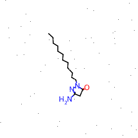 CCCCCCCCCCCCN1N=C(N)CC1=O